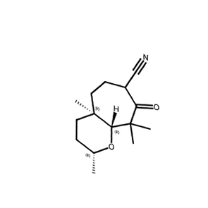 C[C@@H]1CC[C@@]2(C)CCC(C#N)C(=O)C(C)(C)[C@@H]2O1